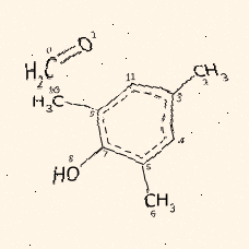 C=O.Cc1cc(C)c(O)c(C)c1